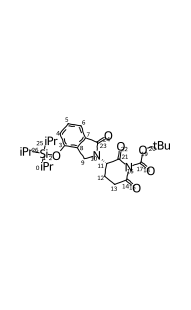 CC(C)[Si](Oc1cccc2c1CN([C@H]1CCC(=O)N(C(=O)OC(C)(C)C)C1=O)C2=O)(C(C)C)C(C)C